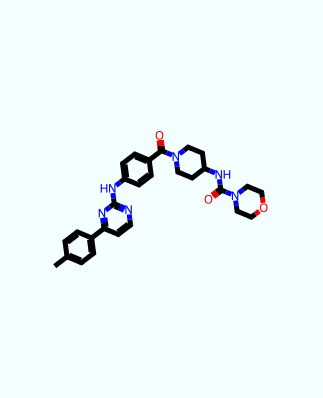 Cc1ccc(-c2ccnc(Nc3ccc(C(=O)N4CCC(NC(=O)N5CCOCC5)CC4)cc3)n2)cc1